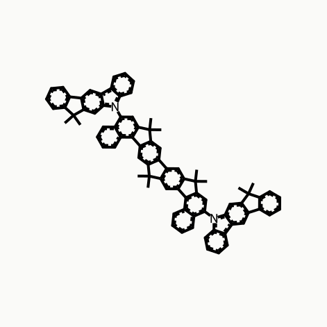 CC1(C)c2cc3c(cc2-c2cc4c(cc21)-c1c(cc(-n2c5ccccc5c5cc6c(cc52)C(C)(C)c2ccccc2-6)c2ccccc12)C4(C)C)C(C)(C)c1cc(-n2c4ccccc4c4cc5c(cc42)C(C)(C)c2ccccc2-5)c2ccccc2c1-3